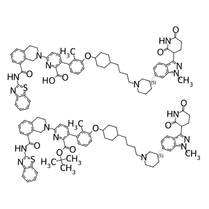 Cc1c(OC2CCC(CCCCN3CCC[C@@H](c4ccc5c(C6CCC(=O)NC6=O)nn(C)c5c4)C3)CC2)cccc1-c1ccc(N2CCc3cccc(C(=O)Nc4nc5ccccc5s4)c3C2)nc1C(=O)O.Cc1c(OC2CCC(CCCCN3CCC[C@@H](c4ccc5c(C6CCC(=O)NC6=O)nn(C)c5c4)C3)CC2)cccc1-c1ccc(N2CCc3cccc(C(=O)Nc4nc5ccccc5s4)c3C2)nc1C(=O)OC(C)(C)C